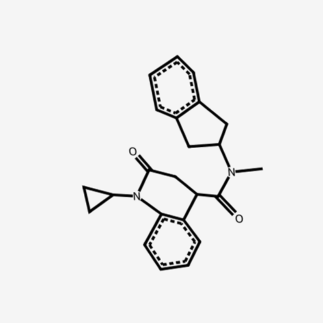 CN(C(=O)C1CC(=O)N(C2CC2)c2ccccc21)C1Cc2ccccc2C1